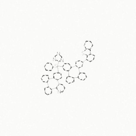 c1ccc([Si](c2ccc3c(c2)-c2ccccc2-c2ccccc2-c2cc(-c4cccc5c4sc4ccccc45)ccc2-3)(c2ccc3c(c2)-c2ccccc2-c2ccccc2-c2ncccc2-3)c2ncncn2)cc1